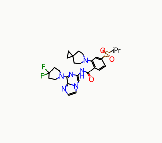 CC(C)S(=O)(=O)c1ccc(C(=O)Nc2cn3ccnc3c(N3CCC(F)(F)CC3)n2)c(N2CCC3(CC2)CC3)c1